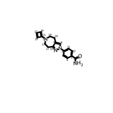 NC(=O)c1ccc(-n2cc3c(n2)CCN(C2=CC=C2)CC3)cc1